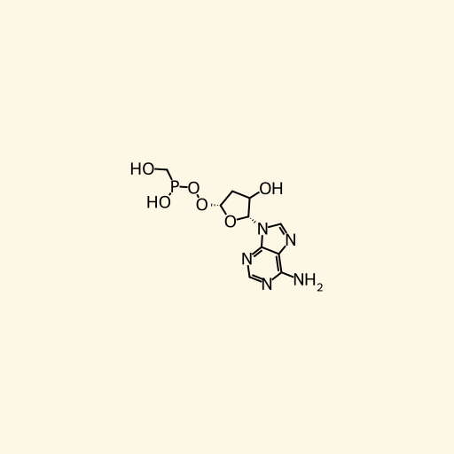 Nc1ncnc2c1ncn2[C@@H]1O[C@H](OOP(O)CO)CC1O